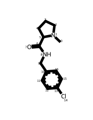 CN1CCCC1C(=O)NCc1ccc(Cl)cc1